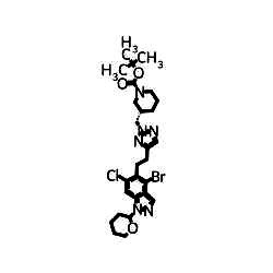 CC(C)(C)OC(=O)N1CCC[C@H](Cn2ncc(CCc3c(Cl)cc4c(cnn4C4CCCCO4)c3Br)n2)C1